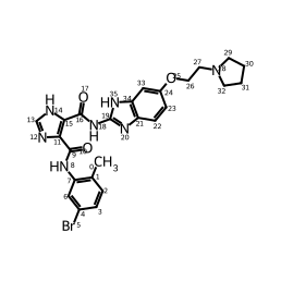 Cc1ccc(Br)cc1NC(=O)c1nc[nH]c1C(=O)Nc1nc2ccc(OCCN3CCCC3)cc2[nH]1